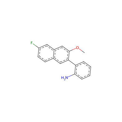 COc1cc2cc(F)ccc2cc1-c1ccccc1N